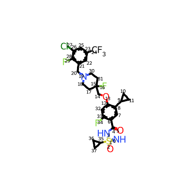 N=S(=O)(NC(=O)c1cc(C2CC2)c(OCC2(F)CCN(Cc3cc(C(F)(F)F)cc(Cl)c3F)CC2)cc1F)C1CC1